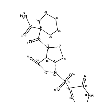 NC(=O)C1(C(=O)N2CCC3C2C(=O)CN3S(=O)(=O)c2ccc[nH]c2=O)CCCCC1